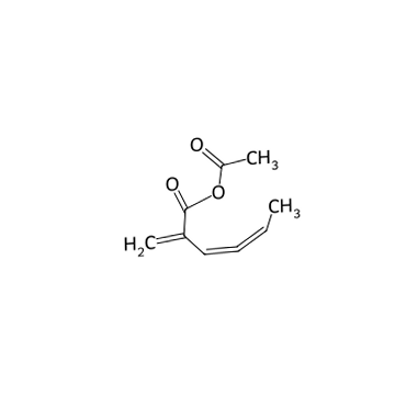 C=C(C=C=CC)C(=O)OC(C)=O